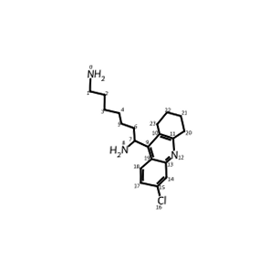 NCCCCCCC(N)c1c2c(nc3cc(Cl)ccc13)CCCC2